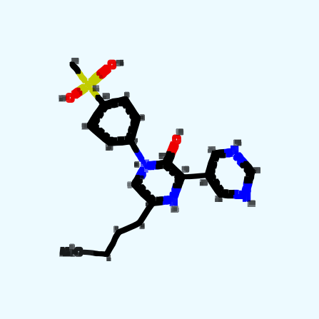 COCCCc1cn(-c2ccc(S(C)(=O)=O)cc2)c(=O)c(-c2cncnc2)n1